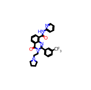 O=C(Nc1ccccn1)c1cccc2c(=O)n(CCN3CCCC3)c(-c3cccc(C(F)(F)F)c3)nc12